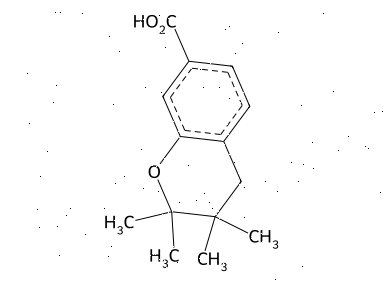 CC1(C)Cc2ccc(C(=O)O)cc2OC1(C)C